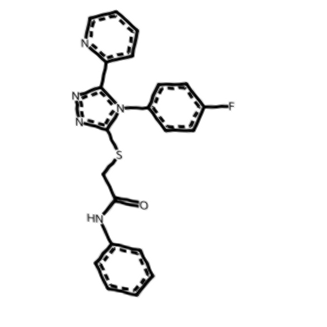 O=C(CSc1nnc(-c2ccccn2)n1-c1ccc(F)cc1)Nc1ccccc1